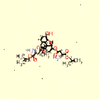 CC(C)COC(=O)[C@@H](N)CC(=O)OC1=CC[C@@]2(OC(=O)C[C@H](N)C(=O)OCC(C)C)[C@H]3Cc4ccc(O)c5c4[C@@]2(CCC3C)[C@H]1O5